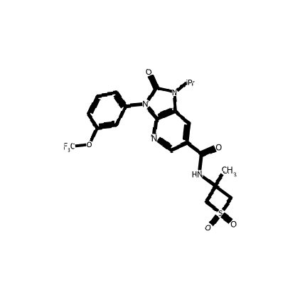 CC(C)n1c(=O)n(-c2cccc(OC(F)(F)F)c2)c2ncc(C(=O)NC3(C)CS(=O)(=O)C3)cc21